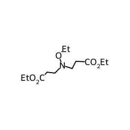 CCOC(=O)CCN(CCC(=O)OCC)OCC